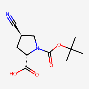 CC(C)(C)OC(=O)N1C[C@H](C#N)C[C@H]1C(=O)O